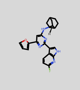 Fc1ccc2c(-c3nc(N[C@@H]4CC5CCC4CC5)cc(-c4ccco4)n3)c[nH]c2n1